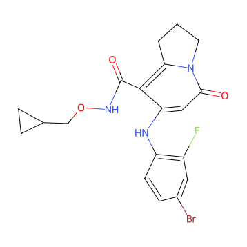 O=C(NOCC1CC1)c1c(Nc2ccc(Br)cc2F)cc(=O)n2c1CCC2